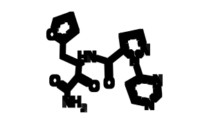 NC(=O)C(=O)C(Cc1ccco1)NC(=O)c1ccnn1-c1ccncn1